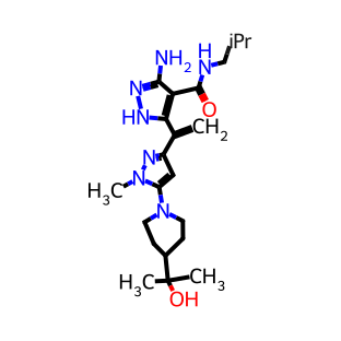 C=C(c1cc(N2CCC(C(C)(C)O)CC2)n(C)n1)c1[nH]nc(N)c1C(=O)NCC(C)C